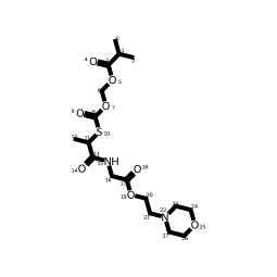 CC(C)C(=O)OCOC(=O)SC(C)C(=O)NCC(=O)OCCN1CCOCC1